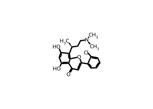 C[C@@H](CCN(C)C)c1c(O)cc(O)c2c(=O)cc(-c3ccccc3Cl)oc12